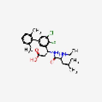 CCNC(CC(C)C)C(=O)N[C@@H](CC(=O)O)c1cc(-c2c(C)cccc2C)cc(Cl)c1F